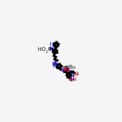 CC(C)(C)[Si](C)(C)OC(CNCc1ccc2c(c1)nnn2CCCCc1ccc(-c2ccccc2)c(NC(=O)O)c1)c1ccc(O)c2[nH]c(=O)ccc12